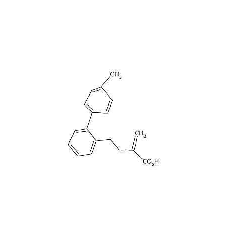 C=C(CCc1ccccc1-c1ccc(C)cc1)C(=O)O